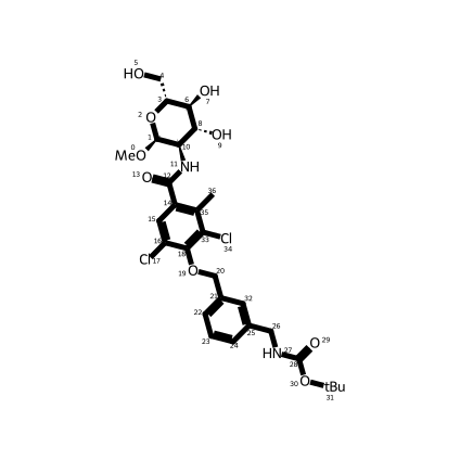 CO[C@H]1O[C@H](CO)[C@@H](O)[C@H](O)[C@H]1NC(=O)c1cc(Cl)c(OCc2cccc(CNC(=O)OC(C)(C)C)c2)c(Cl)c1C